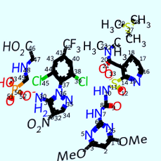 COc1cc(OC)nc(NC(=O)NS(=O)(=O)c2ncccc2C(=O)N(C)C)n1.C[S+](C)C.Nc1c([N+](=O)[O-])cnn1-c1c(Cl)cc(C(F)(F)F)cc1Cl.O=C(O)CNCP(=O)([O-])O